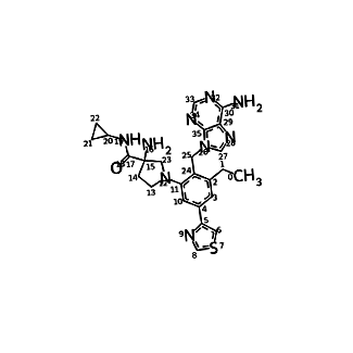 CCc1cc(-c2cscn2)cc(N2CCC(N)(C(=O)NC3CC3)C2)c1Cn1cnc2c(N)ncnc21